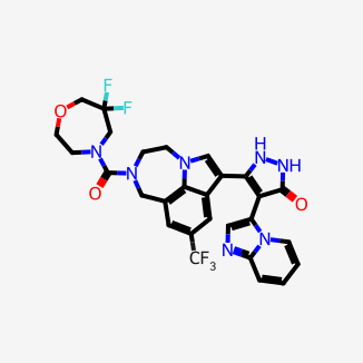 O=C(N1CCn2cc(-c3[nH][nH]c(=O)c3-c3cnc4ccccn34)c3cc(C(F)(F)F)cc(c32)C1)N1CCOCC(F)(F)C1